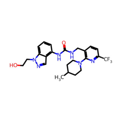 CC1CCN(c2nc(C(F)(F)F)ccc2CNC(=O)Nc2cccc3c2cnn3CCO)CC1